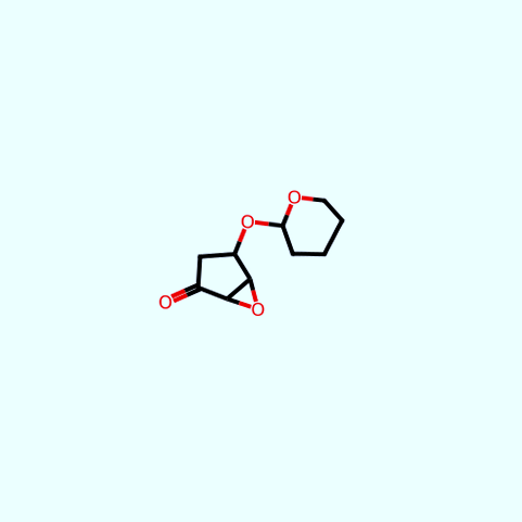 O=C1CC(OC2CCCCO2)C2OC12